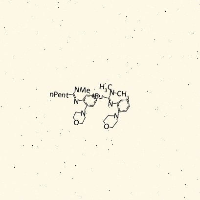 CCCCC/C(=N/c1ccccc1N1CCOCC1)NC.CN(C)/C(=N\c1ccccc1N1CCOCC1)C(C)(C)C